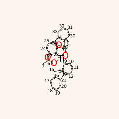 CC(=O)[O][Ti]([O]C(C)=O)([c]1cccc2c1Cc1ccccc1-2)[c]1cccc2c1Cc1ccccc1-2